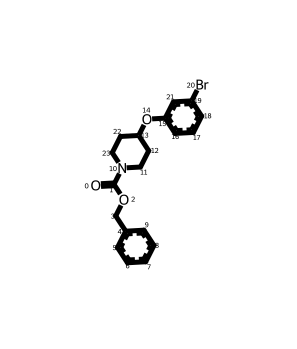 O=C(OCc1ccccc1)N1CCC(Oc2cccc(Br)c2)CC1